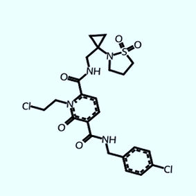 O=C(NCc1ccc(Cl)cc1)c1ccc(C(=O)NCC2(N3CCCS3(=O)=O)CC2)n(CCCl)c1=O